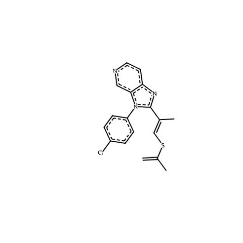 C=C(C)S/C=C(\C)c1nc2ccncc2n1-c1ccc(Cl)cc1